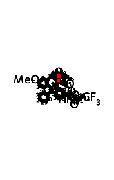 COc1ccc2c(c1)C1CC1(C(=O)N1C3COCC1COC3)Cn1c-2c(C2CCCCC2)c2ccc(C(=O)NS(=O)(=O)CCC(F)(F)F)cc21